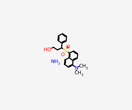 CN(C)c1cccc2c(S(=O)(=O)C(CCO)c3ccccc3)cccc12.N